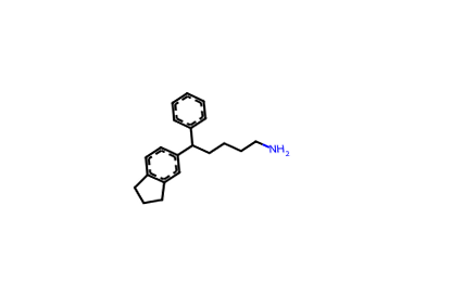 NCCCCC(c1ccccc1)c1ccc2c(c1)CCC2